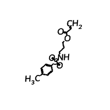 C=CC(=O)OCCCNS(=O)(=O)c1ccc(C)cc1